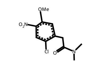 COc1cc(CC(=O)N(C)C)c(Cl)cc1[N+](=O)[O-]